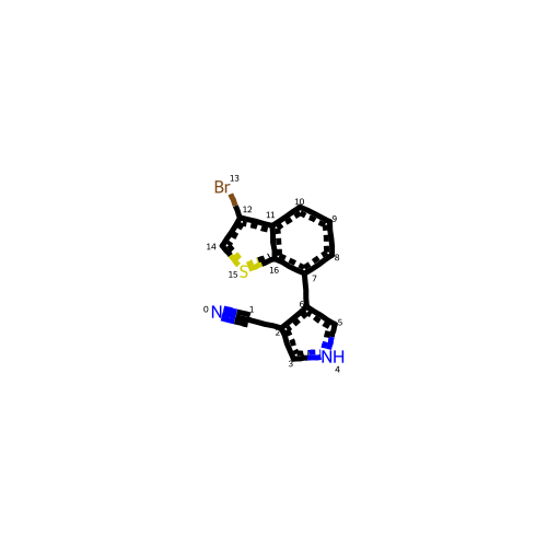 N#Cc1c[nH]cc1-c1cccc2c(Br)csc12